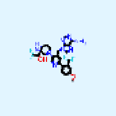 COc1ccc(-c2cc(Cn3cnc4c(N)ncnc43)c(N3CCCC(N)(C(O)C(F)F)C3)cn2)c(C(F)F)c1